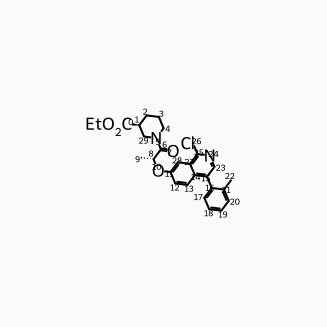 CCOC(=O)[C@H]1CCCN(C(=O)[C@@H](C)Oc2ccc3c(-c4ccccc4C)cnc(Cl)c3c2)C1